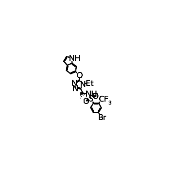 CCn1c(Oc2ccc3cc[nH]c3c2)nnc1[C@@H](C)NS(=O)(=O)c1ccc(Br)cc1C(F)(F)F